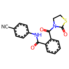 N#Cc1ccc(NC(=O)c2ccccc2C(=O)N2CCSC2=O)cc1